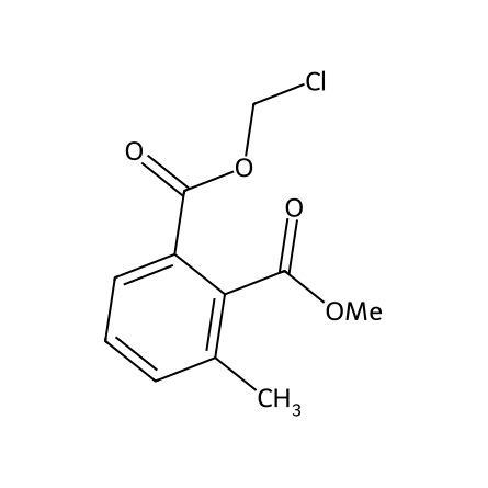 COC(=O)c1c(C)cccc1C(=O)OCCl